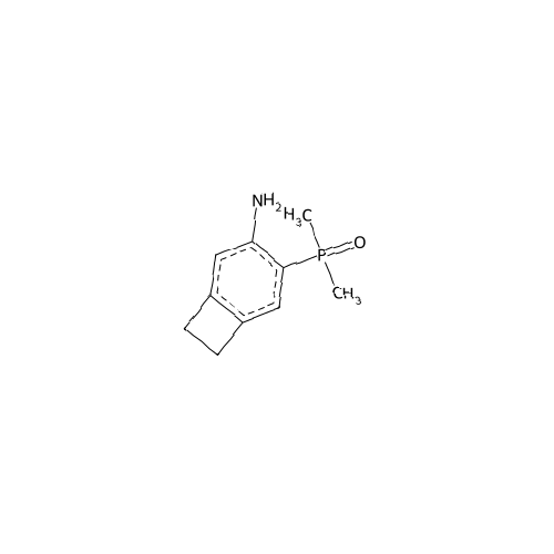 CP(C)(=O)c1cc2c(cc1N)CC2